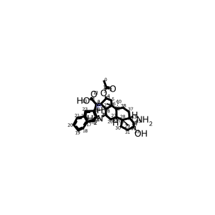 CC(=O)O[C@H]1C[C@@]2(C)[C@H](/C1=C(/C(=O)O)c1ccc3ccccc3c1)[C@H](N)C[C@H]1[C@@]3(C)CC[C@@H](O)[C@@H](N)[C@@H]3CC[C@@]12C